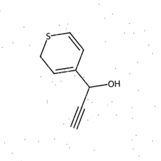 C#CC(O)C1=CCSC=C1